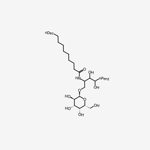 CCCCCCCCCCCCCCCCCCC(=O)NC(CO[C@H]1O[C@H](CO)[C@H](O)[C@H](O)[C@H]1O)C(O)C(O)CCCCC